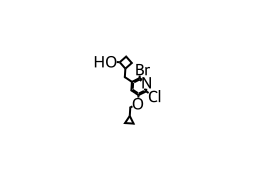 OC1CCC1Cc1cc(OCC2CC2)c(Cl)nc1Br